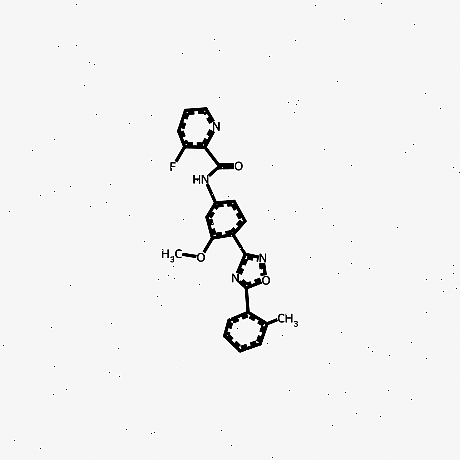 COc1cc(NC(=O)c2ncccc2F)ccc1-c1noc(-c2ccccc2C)n1